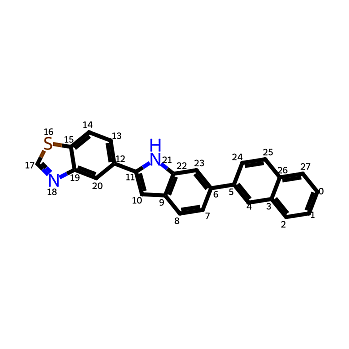 c1ccc2cc(-c3ccc4cc(-c5ccc6scnc6c5)[nH]c4c3)ccc2c1